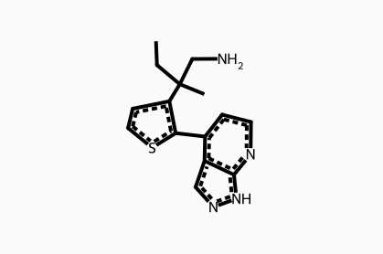 CCC(C)(CN)c1ccsc1-c1ccnc2[nH]ncc12